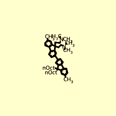 CCCCCCCCC1(CCCCCCCC)c2cc(C)ccc2-c2ccc(-c3ccc4c(c3)C(CCN(C)C)(CCN(C)C)c3cc(C)ccc3-4)cc21